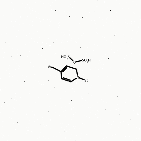 CCN1C=CC(C(C)=O)=CC1.O=S(=O)(O)OS(=O)(=O)O